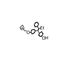 CC/C(=C(\c1ccc(O)cc1)c1ccc(OCCN2CCCC2)cc1)c1ccccc1